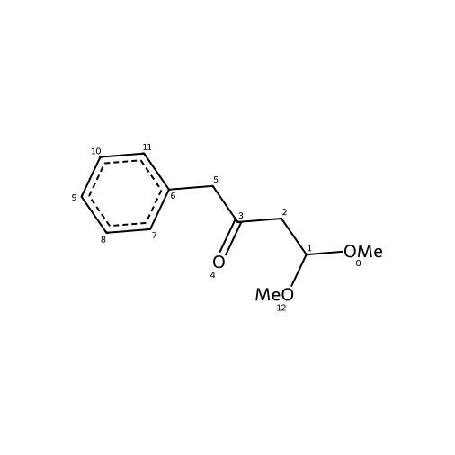 COC(CC(=O)Cc1ccccc1)OC